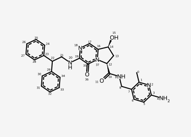 Cc1nc(N)ccc1CNC(=O)[C@@H]1C[C@H](O)c2cnc(NCC(c3ccccc3)c3ccccc3)c(=O)n21